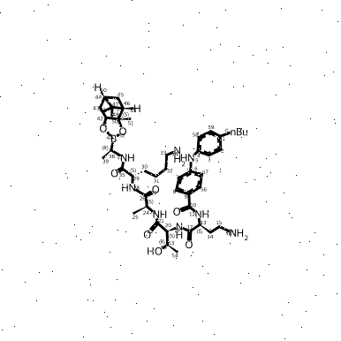 CCCCc1ccc(Nc2ccc(C(=O)N[C@@H](CCN)C(=O)N[C@H](C(=O)N[C@@H](C)C(=O)N[C@@H](CCCCN)C(=O)N[C@@H](C)B3OC4C[C@@H]5C[C@@H](C5(C)C)[C@]4(C)O3)[C@@H](C)O)cc2)cc1